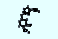 Nc1ccn(Cc2ccc(C(F)(F)F)c(F)c2)n1